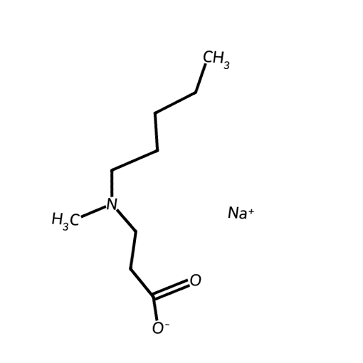 CCCCCN(C)CCC(=O)[O-].[Na+]